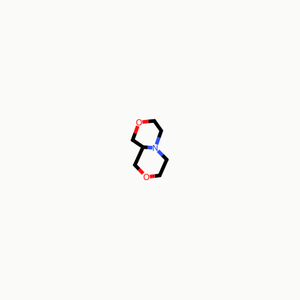 C1CN2CCOCC2CO1